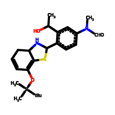 CC(O)c1cc(N(C)C=O)ccc1C1NC2CC=CC(O[Si](C)(C)C(C)(C)C)=C2S1